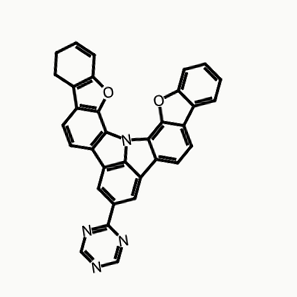 C1=Cc2oc3c(ccc4c5cc(-c6ncncn6)cc6c7ccc8c9ccccc9oc8c7n(c56)c43)c2CC1